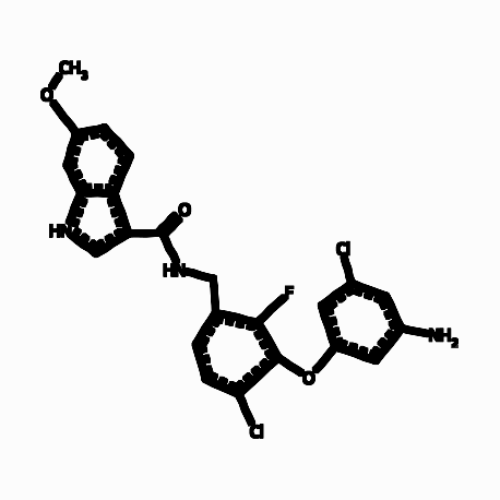 COc1ccc2c(C(=O)NCc3ccc(Cl)c(Oc4cc(N)cc(Cl)c4)c3F)c[nH]c2c1